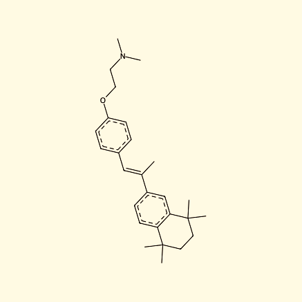 CC(=Cc1ccc(OCCN(C)C)cc1)c1ccc2c(c1)C(C)(C)CCC2(C)C